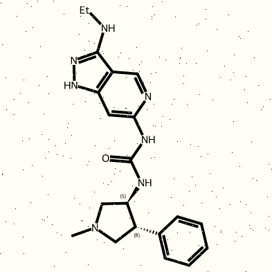 CCNc1n[nH]c2cc(NC(=O)N[C@@H]3CN(C)C[C@H]3c3ccccc3)ncc12